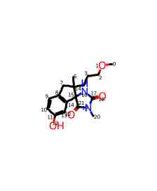 COCCCC1(C)Cc2ccc(O)cc2C12NC(=O)N(C)C2=O